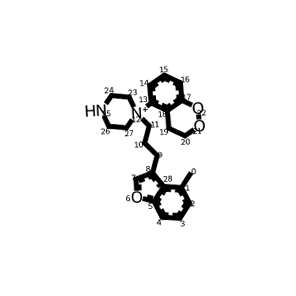 Cc1cccc2occ(CCC[N+]3(c4cccc5c4CCOO5)CCNCC3)c12